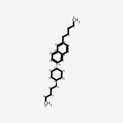 CCCCCc1ccc2cc([C@H]3CC[C@H](CCCCC)CC3)ccc2c1